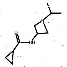 CC(C)N1CC(NC(=O)C2CC2)C1